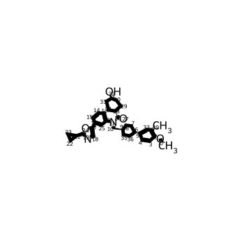 COc1ccc([C@H]2CC[C@H](CN(c3cccc(-c4cnc(C5CC5)o4)c3)C(=O)[C@H]3CC[C@H](O)CC3)CC2)cc1C